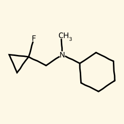 CN(CC1(F)CC1)C1CCCCC1